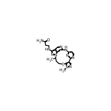 CC1CCOc2c(cnn2C)-c2nccc(n2)Nc2cc3c(cn2)c(NCCC(N)=O)nn31